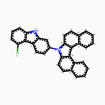 Clc1cccc2[nH]c3cc(-n4c5ccc6ccccc6c5c5c6ccccc6ccc54)ccc3c12